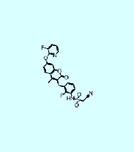 Cc1c(Cc2cccc(NS(=O)(=O)CC#N)c2F)c(=O)oc2cc(Oc3ncccc3F)ccc12